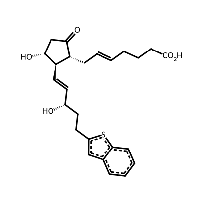 O=C(O)CCCC=CC[C@H]1C(=O)C[C@@H](O)[C@@H]1C=C[C@@H](O)CCc1cc2ccccc2s1